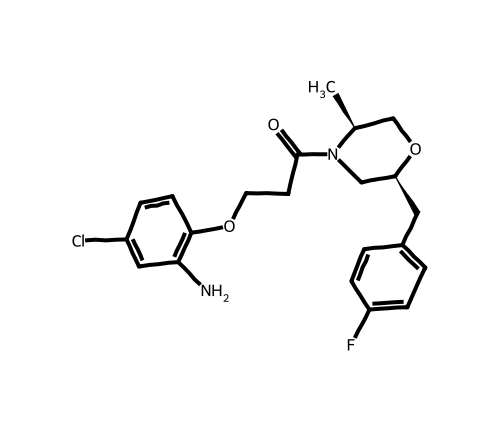 C[C@H]1CO[C@@H](Cc2ccc(F)cc2)CN1C(=O)CCOc1ccc(Cl)cc1N